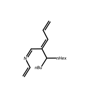 C=C/C=C(\C=N/C=C)C(CCCC)CCCCCC